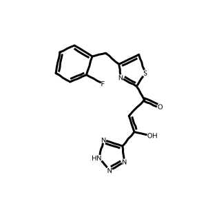 O=C(C=C(O)c1nn[nH]n1)c1nc(Cc2ccccc2F)cs1